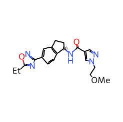 CCc1nc(-c2ccc3c(c2)CC[C@H]3NC(=O)c2cnn(CCOC)c2)no1